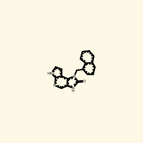 O=c1[nH]c2cnc3[nH]ccc3c2n1Cc1cccc2ccccc12